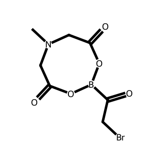 CN1CC(=O)OB(C(=O)CBr)OC(=O)C1